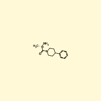 C[C@H](N)C(=O)N1CCC(c2ccccc2)CC1